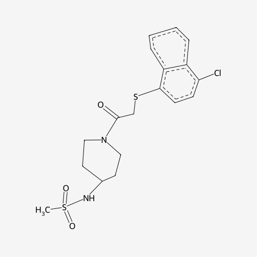 CS(=O)(=O)NC1CCN(C(=O)CSc2ccc(Cl)c3ccccc23)CC1